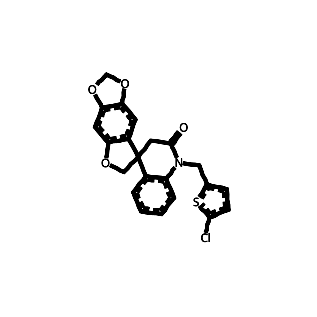 O=C1CC2(COc3cc4c(cc32)OCO4)c2ccccc2N1Cc1ccc(Cl)s1